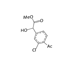 COC(=O)C(O)c1ccc(C(C)=O)c(Cl)c1